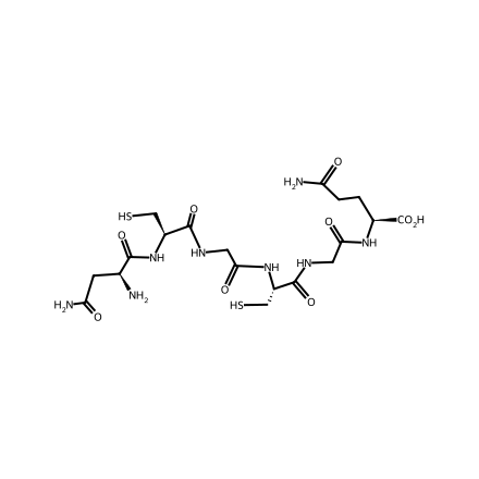 NC(=O)CC[C@H](NC(=O)CNC(=O)[C@H](CS)NC(=O)CNC(=O)[C@H](CS)NC(=O)[C@@H](N)CC(N)=O)C(=O)O